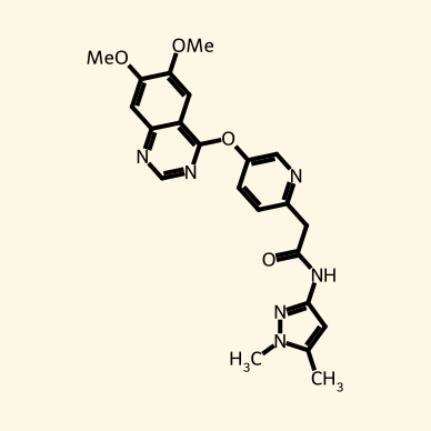 COc1cc2ncnc(Oc3ccc(CC(=O)Nc4cc(C)n(C)n4)nc3)c2cc1OC